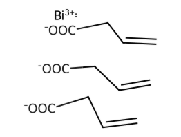 C=CCC(=O)[O-].C=CCC(=O)[O-].C=CCC(=O)[O-].[Bi+3]